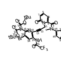 CN(C(=O)c1cccc(=O)n1CC#Cc1nc(N(C(=O)OC(C)(C)C)C(=O)OC(C)(C)C)c(Br)cc1NC(=O)C(F)(F)F)c1ccc(F)cc1